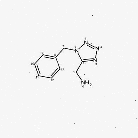 NCc1nnnn1Cc1ccccc1